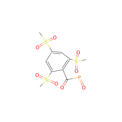 CS(=O)(=O)c1cc(S(C)(=O)=O)c(C(=O)P=O)c(S(C)(=O)=O)c1